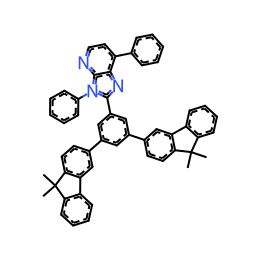 CC1(C)c2ccccc2-c2cc(-c3cc(-c4ccc5c(c4)-c4ccccc4C5(C)C)cc(-c4nc5c(-c6ccccc6)ccnc5n4-c4ccccc4)c3)ccc21